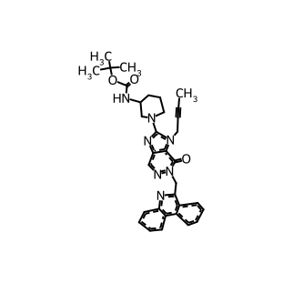 CC#CCn1c(N2CCCC(NC(=O)OC(C)(C)C)C2)nc2cnn(Cc3nc4ccccc4c4ccccc34)c(=O)c21